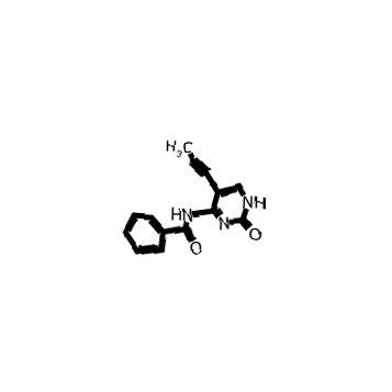 CC#Cc1c[nH]c(=O)nc1NC(=O)c1ccccc1